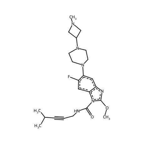 COc1nc2cc(N3CCN(C4CN(C)C4)CC3)c(F)cc2n1C(=O)NCC#CC(C)C